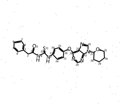 O=C(Cc1ccccc1)NC(=S)Nc1ccc(Oc2ncnc3c2ncn3C2CCCCO2)cc1